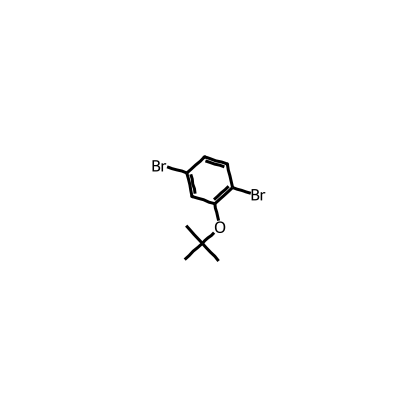 CC(C)(C)Oc1cc(Br)ccc1Br